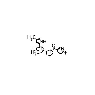 C=C(/N=C(\CC)[C@H]1CCCN(C(=O)c2ccc(F)nc2)C1)c1cc(C)c[nH]1